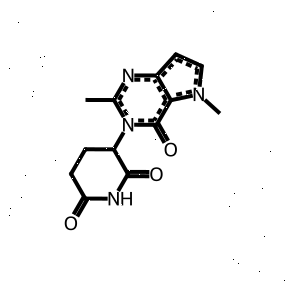 Cc1nc2ccn(C)c2c(=O)n1C1CCC(=O)NC1=O